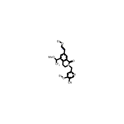 CCO/C=C/c1cc2c(c(C(OC)C(F)(F)F)c1)CCN(Cc1cc(OCC)c(C#N)cn1)C2=O